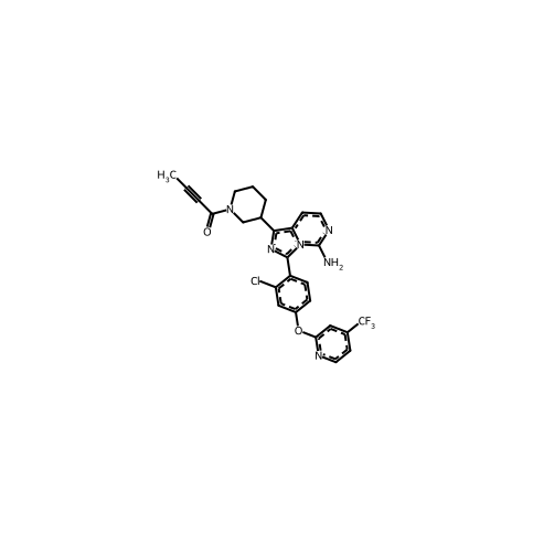 CC#CC(=O)N1CCCC(c2nc(-c3ccc(Oc4cc(C(F)(F)F)ccn4)cc3Cl)n3c(N)nccc23)C1